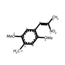 COc1cc(/C=C(/C)[N+](=O)[O-])c(OC)cc1C